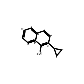 Brc1c(C2CC2)ccc2ccccc12